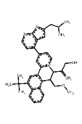 C=C(CO)C1C(COC)c2c(cc(C(C)(C)C)c3ccccc23)-c2cc(-c3ccnc4oc(CC(C)C)cc34)cc[n+]21